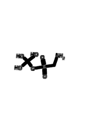 NCS(=O)(=O)OC(O)(O)O